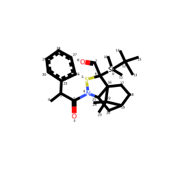 CC(C(=O)N1SC(C=O)([Si](C)(C)C(C)(C)C)C23CCC(CC12)C3(C)C)c1ccccc1